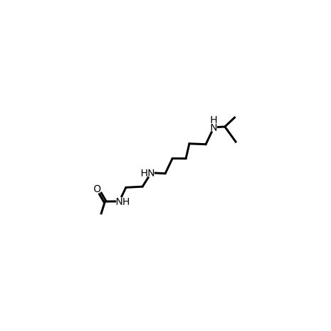 CC(=O)NCCNCCCCCNC(C)C